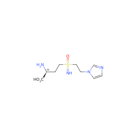 N=S(=O)(CC[C@H](N)C(=O)O)CCn1ccnc1